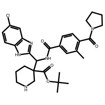 Cc1cc(C(=O)NC(c2nc3cc(Cl)ccc3[nH]2)C2(C(=O)OC(C)(C)C)CCCNC2)ccc1C(=O)N1CCCC1